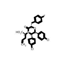 C=CC[C@@H](C(=O)O)N1C(=O)[C@H](Cc2ccc(F)cc2)O[C@@H](c2ccc(Cl)cc2)[C@H]1c1ccc(Cl)cc1